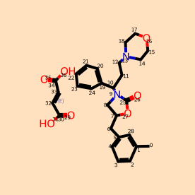 Cc1cccc(CC2CN(C(CCN3CCOCC3)c3ccccc3)C(=O)O2)c1.O=C(O)/C=C/C(=O)O